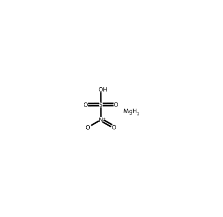 O=[N+]([O-])S(=O)(=O)O.[MgH2]